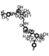 CCS(=O)(=O)Nc1ccc(-c2n[nH]c(Nc3ccc(C(=O)NCCC(=O)N[C@@H](C(=O)N4C[C@@H](O)C[C@@H]4C(=O)NCc4ccc(-c5scnc5C)cc4)C(C)(C)C)cn3)c2C(N)=O)cc1O[C@H](C)c1ccc(F)cc1